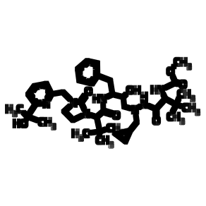 COC(=O)NC(C(=O)NN(CC1CC1)CC(O)C(Cc1ccccc1)NC(=O)C(N1CCN(Cc2cccc(C(C)(C)O)n2)C1=O)C(C)(C)C)C(C)(C)C